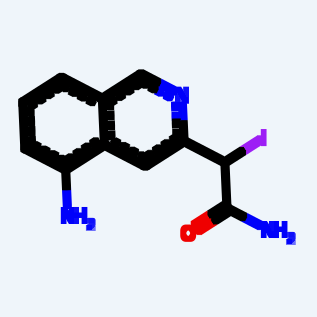 NC(=O)C(I)c1cc2c(N)cccc2cn1